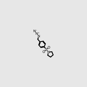 [N-]=[N+]=NCc1ccc(S(=O)(=O)N2CCCC2)cc1